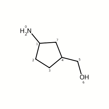 NC1CCC(CO)C1